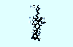 CC(N)(CCCCCC(=O)O)C(B(O)O)N1CCN(S(=O)(=O)c2cccc(F)c2)CC1